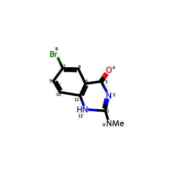 CNc1nc(=O)c2cc(Br)ccc2[nH]1